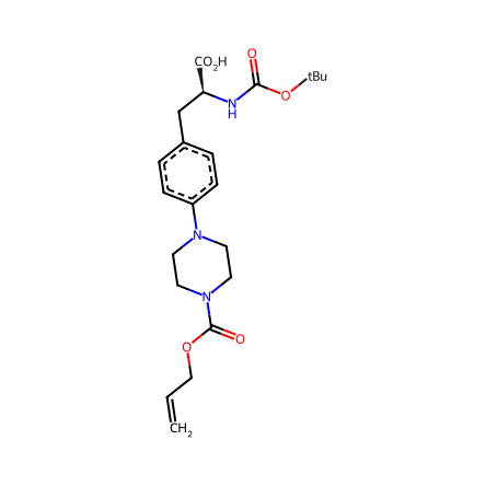 C=CCOC(=O)N1CCN(c2ccc(C[C@H](NC(=O)OC(C)(C)C)C(=O)O)cc2)CC1